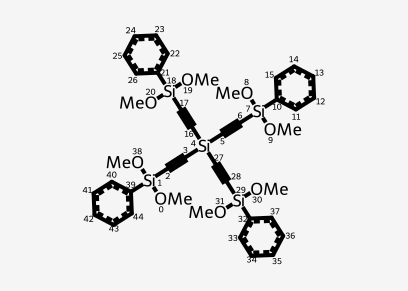 CO[Si](C#C[Si](C#C[Si](OC)(OC)c1ccccc1)(C#C[Si](OC)(OC)c1ccccc1)C#C[Si](OC)(OC)c1ccccc1)(OC)c1ccccc1